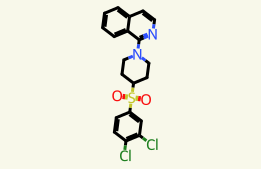 O=S(=O)(c1ccc(Cl)c(Cl)c1)C1CCN(c2nccc3ccccc23)CC1